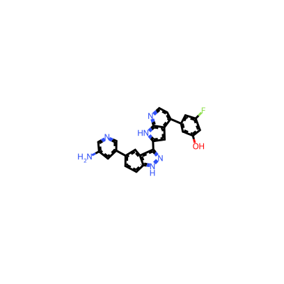 Nc1cncc(-c2ccc3[nH]nc(-c4cc5c(-c6cc(O)cc(F)c6)ccnc5[nH]4)c3c2)c1